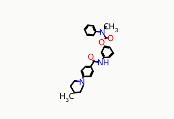 CC1CCN(c2ccc(C(=O)Nc3cccc(OC(=O)N(C)c4ccccc4)c3)cc2)CC1